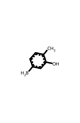 Bc1ccc(C)c(O)c1